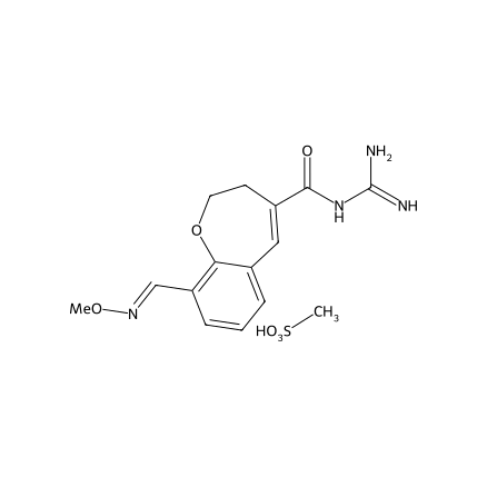 CON=Cc1cccc2c1OCCC(C(=O)NC(=N)N)=C2.CS(=O)(=O)O